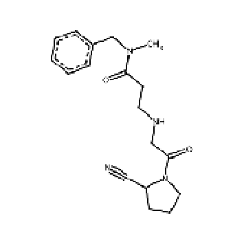 CN(Cc1ccccc1)C(=O)CCNCC(=O)N1CCCC1C#N